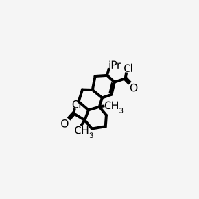 CC(C)C1CC2CCC3C(C)(C(=O)Cl)CCCC3(C)C2C=C1C(=O)Cl